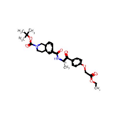 CCOC(=O)COc1ccc(C(=O)[C@H](C)NC(=O)c2ccc3c(c2)CCN(C(=O)OC(C)(C)C)C3)cc1